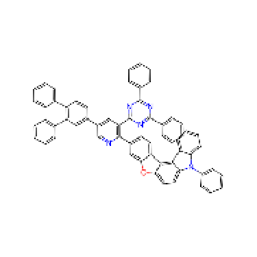 c1ccc(-c2nc(-c3ccccc3)nc(-c3cc(-c4ccc(-c5ccccc5)c(-c5ccccc5)c4)cnc3-c3ccc4c(c3)oc3ccc5c(c6ccccc6n5-c5ccccc5)c34)n2)cc1